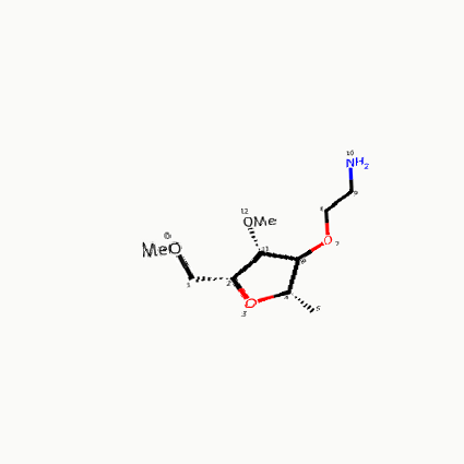 COC[C@H]1O[C@@H](C)C(OCCN)[C@H]1OC